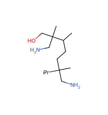 CC(C)C(C)(CN)CCC(C)C(C)(CN)CO